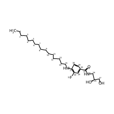 CCCCCCCCCCCCCCCCNc1ccc(C(=O)NCC(O)CO)cc1F